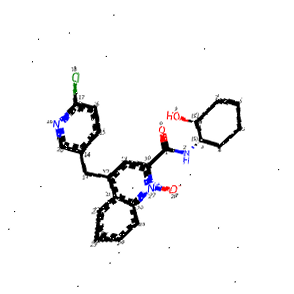 O=C(N[C@H]1CCCC[C@@H]1O)c1cc(Cc2ccc(Cl)nc2)c2ccccc2[n+]1[O-]